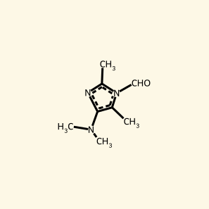 Cc1nc(N(C)C)c(C)n1C=O